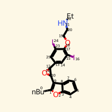 CCCCc1oc2ccccc2c1C1OC1c1cc(I)c(OCCNCC)c(I)c1